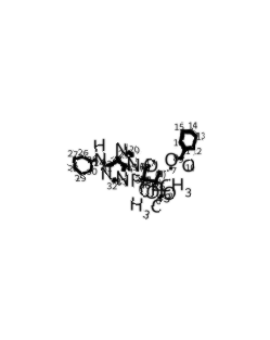 CC(=O)O[C@@]1(C)[C@@H](COC(=O)c2ccccc2)O[C@@H](n2cnc3c(NC4CCCCC4)ncnc32)[C@]1(C)F